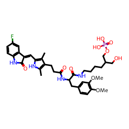 COc1ccc(CC(NC(=O)CCc2c(C)[nH]c(/C=C3\C(=O)Nc4ccc(F)cc43)c2C)C(=O)NCCCCC(CO)COP(=O)(O)O)cc1OC